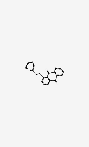 O=C1c2ccccc2C(=O)c2c(CCc3ccccc3)cccc21